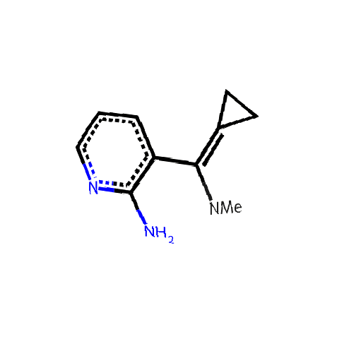 CNC(=C1CC1)c1cccnc1N